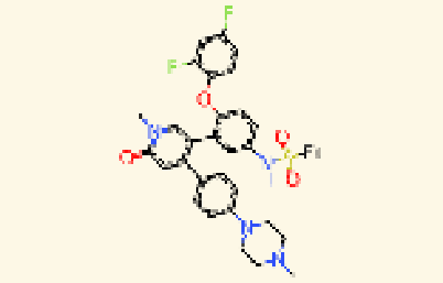 CCS(=O)(=O)Nc1ccc(Oc2ccc(F)cc2F)c(-c2cn(C)c(=O)cc2-c2ccc(N3CCN(C)CC3)cc2)c1